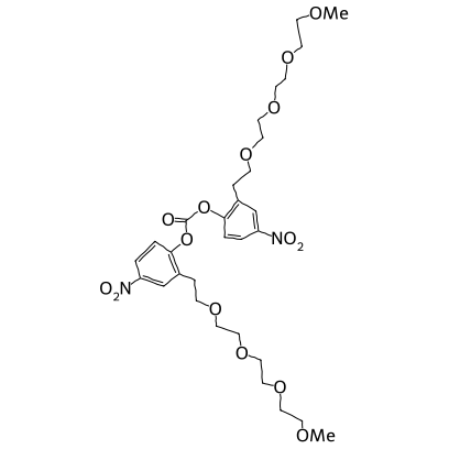 COCCOCCOCCOCCc1cc([N+](=O)[O-])ccc1OC(=O)Oc1ccc([N+](=O)[O-])cc1CCOCCOCCOCCOC